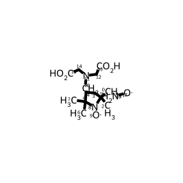 CC1(C)CCC(C)(C)N1[O].CN(CC(=O)O)CC(=O)O.N[O]